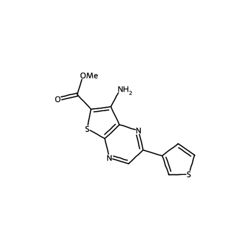 COC(=O)c1sc2ncc(-c3ccsc3)nc2c1N